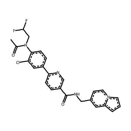 CC(=O)N(CC(F)F)c1ccc(-c2ccc(C(=O)NCc3ccn4cccc4c3)cn2)cc1Cl